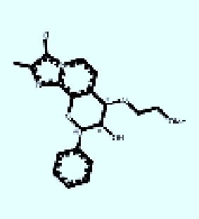 COCCO[C@@H]1c2ccn3c(Cl)c(C)nc3c2O[C@H](c2ccccc2)[C@@H]1O